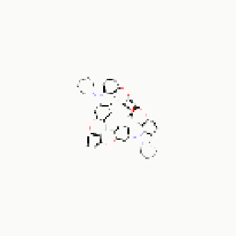 c1ccc2c(c1)Oc1ccc3c4c1B2c1cc2c(cc1N4C1CCCCC31)Oc1cccc3c1B2c1cc2c(cc1O3)N1c3c(ccc4c3B2c2ccccc2O4)C2CCCCC21